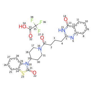 O=C(CCCc1nc2ccccc2c(=O)[nH]1)N1CCC(n2c(=O)sc3ccccc32)CC1.O=C(O)C(F)(F)F